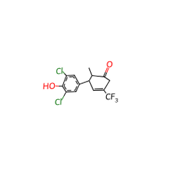 CC1C(=O)CC(C(F)(F)F)=CC1c1cc(Cl)c(O)c(Cl)c1